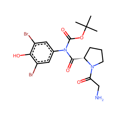 CC(C)(C)OC(=O)N(C(=O)[C@@H]1CCCN1C(=O)CN)c1cc(Br)c(O)c(Br)c1